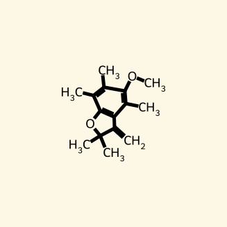 C=C1c2c(C)c(OC)c(C)c(C)c2OC1(C)C